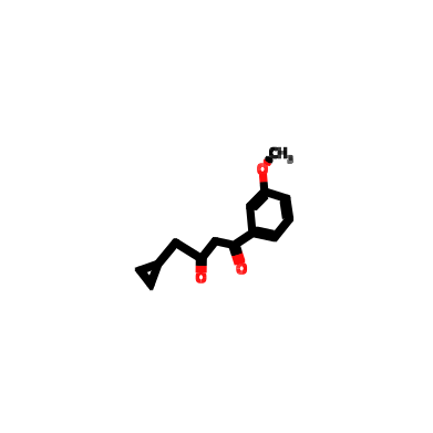 COc1cccc(C(=O)CC(=O)CC2CC2)c1